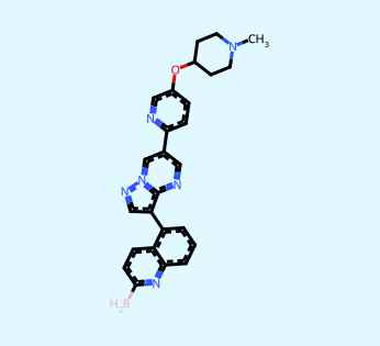 Bc1ccc2c(-c3cnn4cc(-c5ccc(OC6CCN(C)CC6)cn5)cnc34)cccc2n1